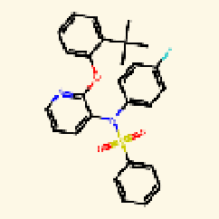 CC(C)(C)c1ccccc1Oc1ncccc1N(c1ccc(F)cc1)S(=O)(=O)c1ccccc1